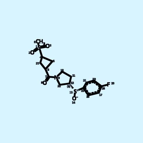 CS(=O)(=O)C1CC(C(=O)N2CC[C@H]([S+]([O-])c3ccc(F)cc3)C2)C1